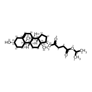 CC(C)OC(=O)CCC(=O)O[C@H]1CC[C@H]2[C@@H]3CC=C4C[C@@H](O)CC[C@]4(C)[C@H]3CC[C@]12C